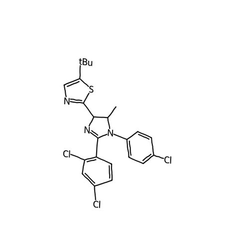 CC1C(c2ncc(C(C)(C)C)s2)N=C(c2ccc(Cl)cc2Cl)N1c1ccc(Cl)cc1